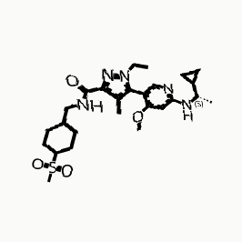 CCn1nc(C(=O)NCC2CCC(S(C)(=O)=O)CC2)c(C)c1-c1cnc(N[C@@H](C)C2CC2)cc1OC